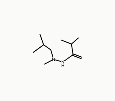 C=C(NN(C)CC(C)C)C(C)C